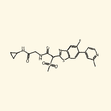 Cc1cc(-c2cc3sc(C(C(=O)NCC(=O)NC4CC4)S(C)(=O)=O)nc3cc2F)ccn1